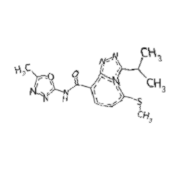 CSc1ccc(C(=O)Nc2nnc(C)o2)c2nnc(C(C)C)n12